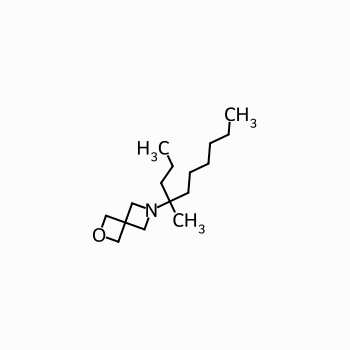 CCCCCCC(C)(CCC)N1CC2(COC2)C1